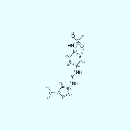 CC(C)c1cnc(NCNc2ccc(NS(C)(=O)=O)cc2)s1